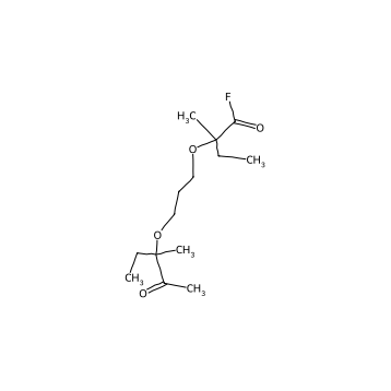 CCC(C)(OCCCOC(C)(CC)C(=O)F)C(C)=O